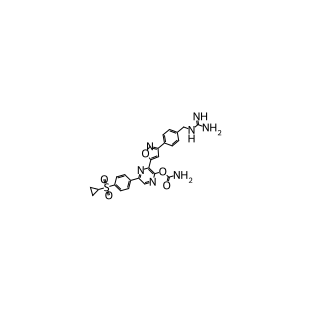 N=C(N)NCc1ccc(-c2cc(-c3nc(-c4ccc(S(=O)(=O)C5CC5)cc4)cnc3OC(N)=O)on2)cc1